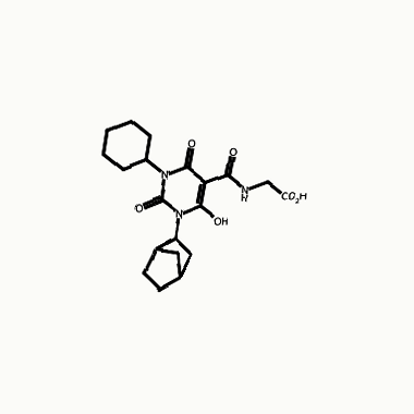 O=C(O)CNC(=O)c1c(O)n(C2CC3CCC2C3)c(=O)n(C2CCCCC2)c1=O